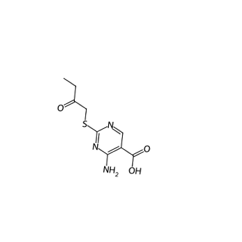 CCC(=O)CSc1ncc(C(=O)O)c(N)n1